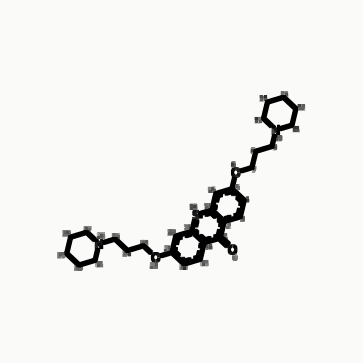 O=c1c2ccc(OCCCN3CCCCC3)cc2sc2cc(OCCCN3CCCCC3)ccc12